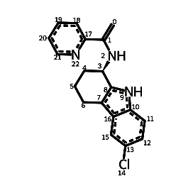 C=C(N[C@@H]1CCCc2c1[nH]c1ccc(Cl)cc21)c1ccccn1